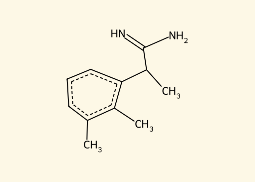 Cc1cccc(C(C)C(=N)N)c1C